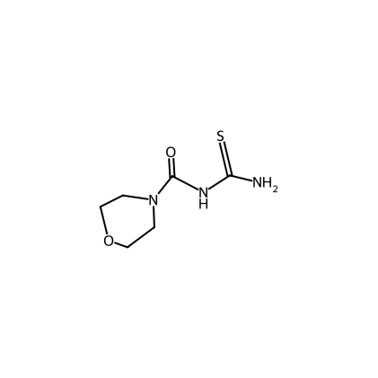 NC(=S)NC(=O)N1CCOCC1